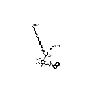 CCCCCCCCCCCCCCCCCCCCCCCCCCN[C@@H](CO[C@H]1O[C@H](COC(=S)Nc2cccc3ccccc23)[C@H](O)[C@H](O)[C@H]1O)[C@H](O)[C@H](O)CCCCCCCCCCCCCC